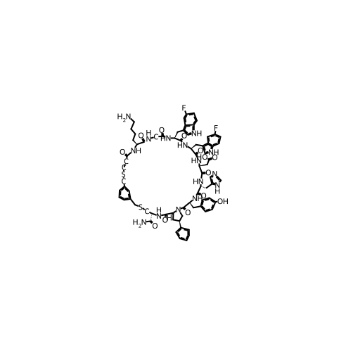 NCCCC[C@@H]1NC(=O)CCSCc2cccc(c2)CSC[C@@H](C(N)=O)NC(=O)[C@@H]2C[C@H](c3ccccc3)CN2C(=O)[C@H](Cc2ccc(O)cc2)NC(=O)[C@@H](Cc2cnc[nH]2)NC(=O)[C@H](CC(=O)O)NC(=O)[C@H](Cc2c[nH]c3ccc(F)cc23)NC(=O)[C@H](Cc2c[nH]c3ccc(F)cc23)NC(=O)CNC1=O